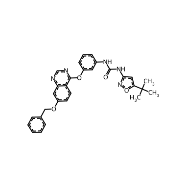 CC(C)(C)c1cc(NC(=O)Nc2cccc(Oc3ncnc4cc(OCc5ccccc5)ccc34)c2)no1